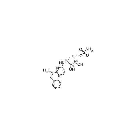 CN(Cc1ccccc1)c1nccc(N[C@@H]2C[C@H](COS(N)(=O)=O)[C@@H](O)[C@H]2O)n1